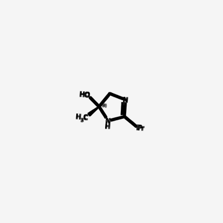 CC(C)C1=NC[C@@](C)(O)N1